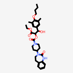 CCCCOc1c(C)cc(C(O)C(OC(=O)N2CCC(N3CCc4ccccc4NC3=O)CC2)C(=O)OCC)cc1C